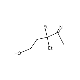 CCC(CC)(CCO)C(C)=N